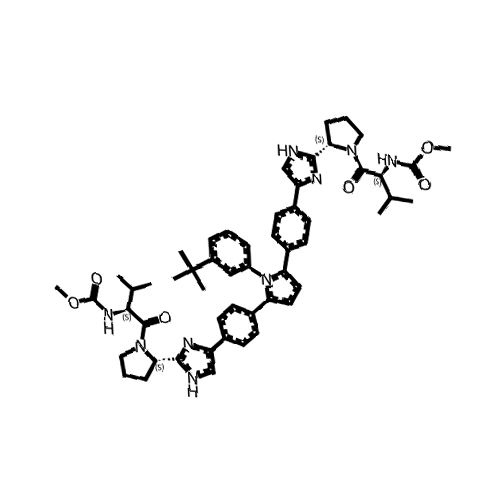 COC(=O)N[C@H](C(=O)N1CCC[C@H]1c1nc(-c2ccc(-c3ccc(-c4ccc(-c5c[nH]c([C@@H]6CCCN6C(=O)[C@@H](NC(=O)OC)C(C)C)n5)cc4)n3-c3cccc(C(C)(C)C)c3)cc2)c[nH]1)C(C)C